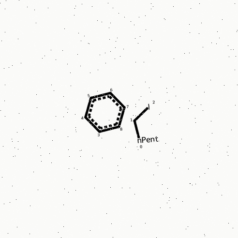 CCCCCCI.c1ccccc1